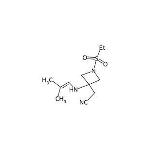 CCS(=O)(=O)N1CC(CC#N)(NC=C(C)C)C1